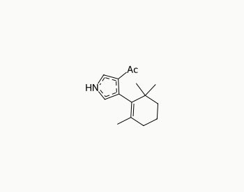 CC(=O)c1c[nH]cc1C1=C(C)CCCC1(C)C